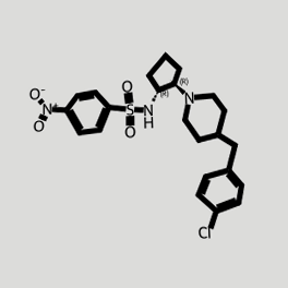 O=[N+]([O-])c1ccc(S(=O)(=O)N[C@@H]2CCC[C@H]2N2CCC(Cc3ccc(Cl)cc3)CC2)cc1